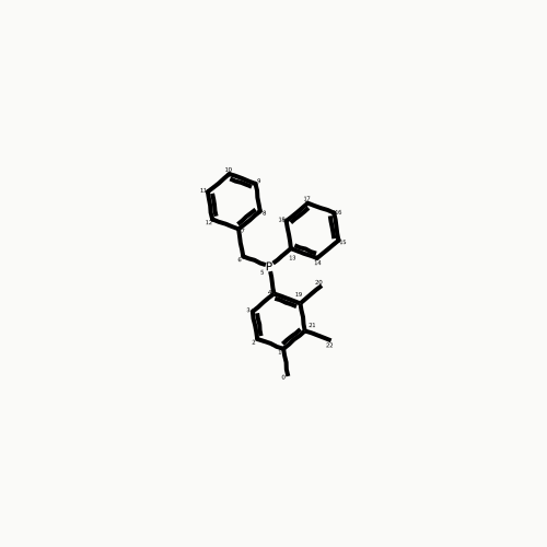 Cc1ccc(P(Cc2ccccc2)c2ccccc2)c(C)c1C